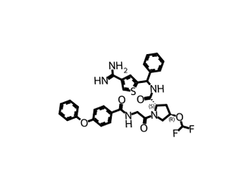 N=C(N)c1csc(C(NC(=O)[C@@H]2C[C@@H](OC(F)F)CN2C(=O)CNC(=O)c2ccc(Oc3ccccc3)cc2)c2ccccc2)c1